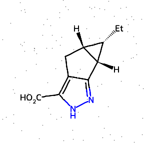 CC[C@H]1[C@H]2Cc3c(n[nH]c3C(=O)O)[C@H]21